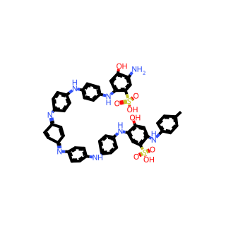 Cc1ccc(Nc2cc(O)c(Nc3ccc(Nc4ccc(N=C5C=CC(=Nc6ccc(Nc7ccc(Nc8cc(O)c(N)cc8S(=O)(=O)O)cc7)cc6)C=C5)cc4)cc3)cc2S(=O)(=O)O)cc1